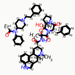 CCC(=O)N(c1ccccc1)C1CCN(CCc2ccccc2)CC1.CN1C[C@H](C(=O)N[C@]2(C)O[C@@]3(O)[C@@H]4CCCN4C(=O)[C@H](Cc4ccccc4)N3C2=O)C=C2c3cccc4[nH]cc(c34)C[C@H]21